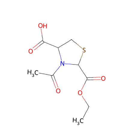 CCOC(=O)C1SCC(C(=O)O)N1C(C)=O